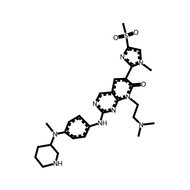 CN(C)CCn1c(=O)c(-c2nc(S(C)(=O)=O)cn2C)cc2cnc(Nc3ccc(N(C)C4CCCNC4)cc3)nc21